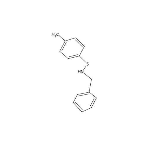 Cc1ccc(SNCc2ccccc2)cc1